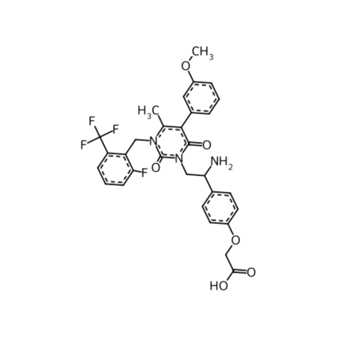 COc1cccc(-c2c(C)n(Cc3c(F)cccc3C(F)(F)F)c(=O)n(CC(N)c3ccc(OCC(=O)O)cc3)c2=O)c1